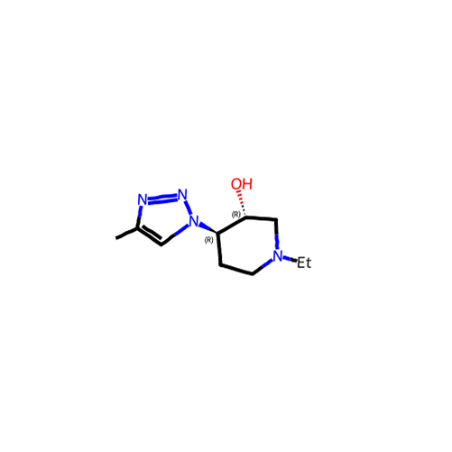 CCN1CC[C@@H](n2cc(C)nn2)[C@H](O)C1